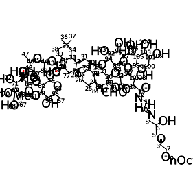 CCCCCCCCOCCOCC(O)CNCCNC(=O)C1OC(O[C@H]2CC[C@@]3(C)C(CC[C@]4(C)C3CC=C3C5CC(C)(C)CC[C@]5(C(=O)OC5OC(C)C(O)C(O)C5OC5OC(C)C(O)C(OC)C5OC5OC(CO)C(O)C(O)C5O)[C@H](O)C[C@]34C)[C@]2(C)C=O)C(OC2OC(CO)C(O)C(O)C2O)C(OC2OCC(O)C(O)C2O)C1O